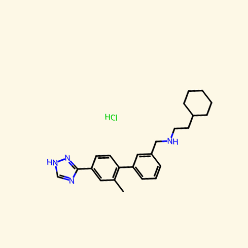 Cc1cc(-c2nc[nH]n2)ccc1-c1cccc(CNCCC2CCCCC2)c1.Cl